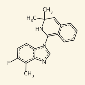 Cc1c(F)ccc2c1ncn2C1=c2ccccc2=CC(C)(C)N1